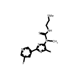 CSCCNC(=S)N(C)c1sc(-c2cncc(F)c2)nc1I